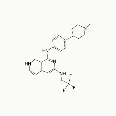 CN1CCC(c2ccc(Nc3nc(NCC(F)(F)F)cc4c3CNC=C4)cc2)CC1